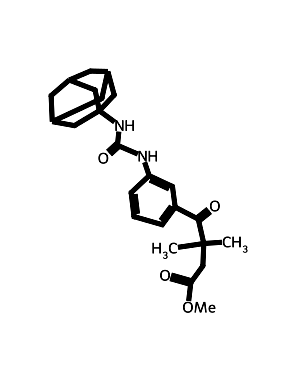 COC(=O)CC(C)(C)C(=O)c1cccc(NC(=O)NC23CC4CC(CC(C4)C2)C3)c1